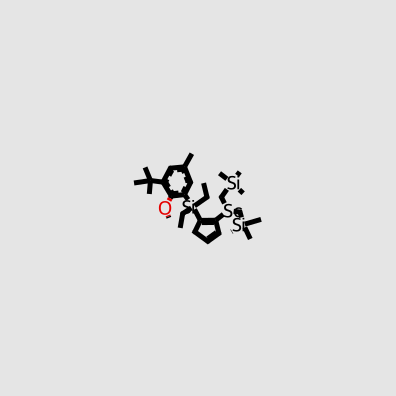 CC[Si](CC)(C1=[C]([Sc]([CH2][Si](C)(C)C)[CH2][Si](C)(C)C)C=CC1)c1cc(C)cc(C(C)(C)C)c1OC